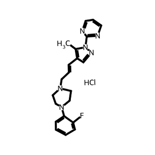 Cc1c(C=CCN2CCN(c3ccccc3F)CC2)cnn1-c1ncccn1.Cl